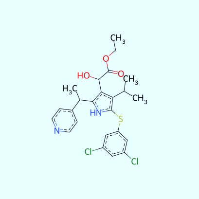 CCOC(=O)C(O)c1c(C(C)c2ccncc2)[nH]c(Sc2cc(Cl)cc(Cl)c2)c1C(C)C